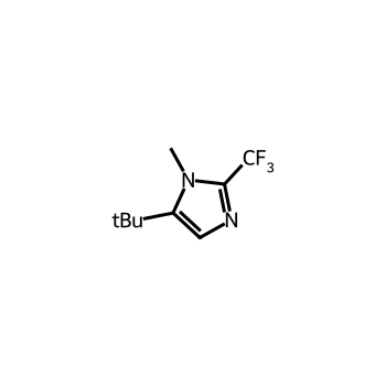 Cn1c(C(C)(C)C)cnc1C(F)(F)F